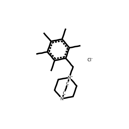 Cc1c(C)c(C)c(C[N+]23CCN(CC2)CC3)c(C)c1C.[Cl-]